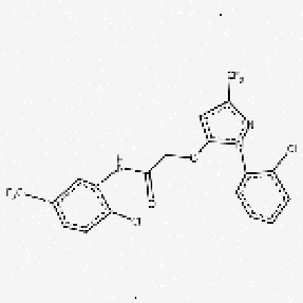 O=C(COc1cc(C(F)(F)F)nn1-c1ccccc1Cl)Nc1cc(C(F)(F)F)ccc1Cl